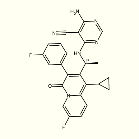 C[C@H](Nc1ncnc(N)c1C#N)c1c(-c2cccc(F)c2)c(=O)n2cc(F)ccc2c1C1CC1